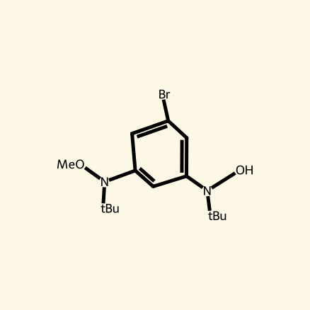 CON(c1cc(Br)cc(N(O)C(C)(C)C)c1)C(C)(C)C